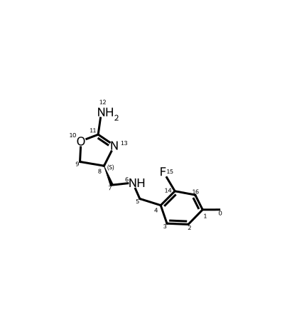 Cc1ccc(CNC[C@H]2COC(N)=N2)c(F)c1